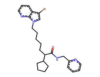 O=C(NCc1ccccn1)C(CCCCCn1cc(Br)c2cccnc21)C1CCCC1